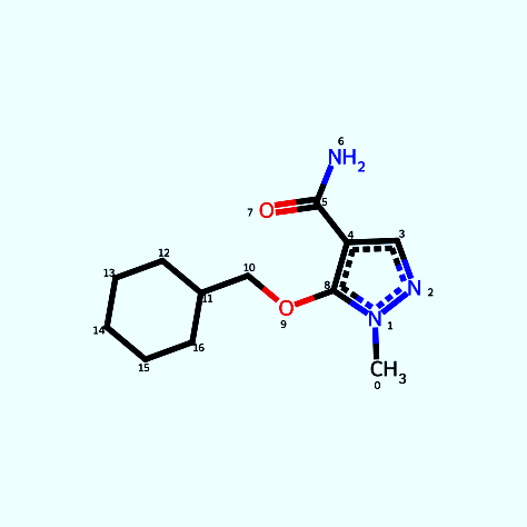 Cn1ncc(C(N)=O)c1OCC1CCCCC1